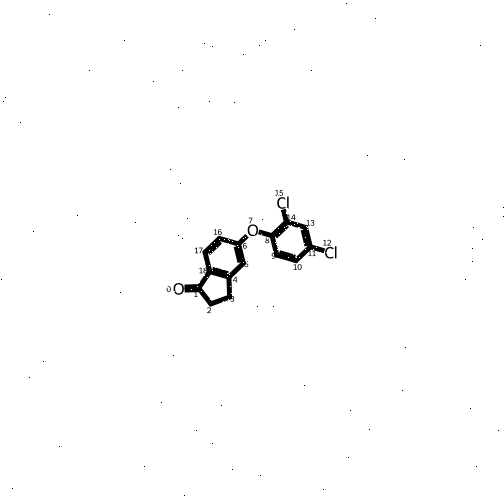 O=C1CCc2cc(Oc3ccc(Cl)cc3Cl)ccc21